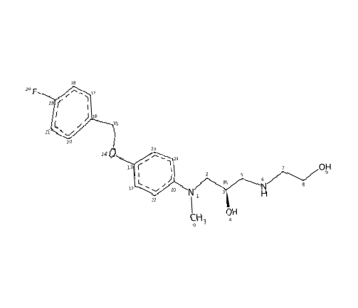 CN(C[C@H](O)CNCCO)c1ccc(OCc2ccc(F)cc2)cc1